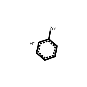 [H-].[Zn+][c]1ccccc1